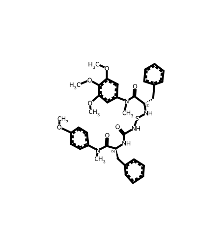 COc1ccc(N(C)C(=O)[C@H](Cc2ccccc2)NC(=O)NSN[C@@H](Cc2ccccc2)C(=O)N(C)c2cc(OC)c(OC)c(OC)c2)cc1